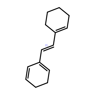 C1=CC(/C=C/C2=CCCCC2)=CCC1